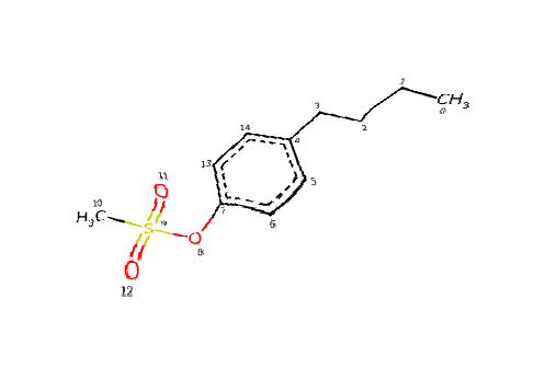 CCCCc1ccc(OS(C)(=O)=O)cc1